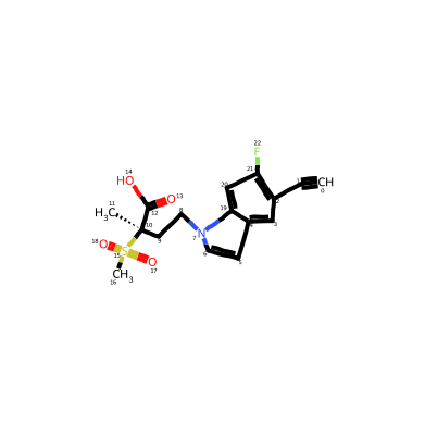 C#Cc1cc2ccn(CC[C@](C)(C(=O)O)S(C)(=O)=O)c2cc1F